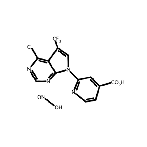 O=C(O)c1ccnc(-n2cc(C(F)(F)F)c3c(Cl)ncnc32)c1.O=NO